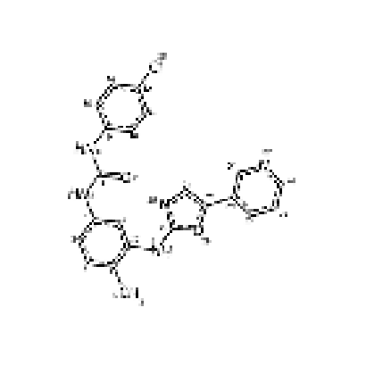 Cc1ccc(NC(=O)Nc2ccc(Cl)cc2)cc1Nc1ncc(-c2cccnc2)o1